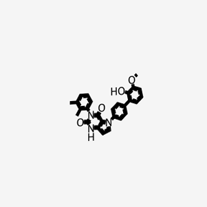 COc1cccc(-c2ccc(-n3ccc4[nH]c(=O)n(-c5cccc(C)c5C)c(=O)c43)cc2)c1O